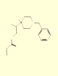 CCC(=O)OCC(C)C1(O)CCN(Cc2ccccc2)CC1